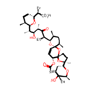 CC[C@@H](C(=O)[C@@H](C)[C@@H](O)[C@H](C)[C@@H]1O[C@@H]([C@@H](CC)C(=O)O)CC[C@@H]1C)[C@H]1O[C@]2(C=C[C@@H](OC(=O)NC)[C@]3(CC[C@@](C)([C@H]4CC[C@](O)(CC)[C@H](C)O4)O3)O2)[C@H](C)C[C@@H]1C